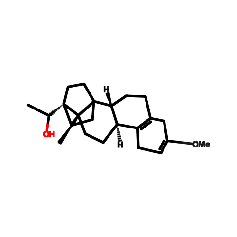 COC1=CCC2=C(CC[C@@H]3[C@@H]2CC[C@@]2(C)C34CC[C@]2(C(C)O)[C@H](C)C4)C1